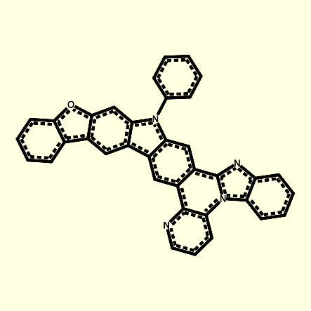 c1ccc(-n2c3cc4oc5ccccc5c4cc3c3cc4c(cc32)c2nc3ccccc3n2c2cccnc42)cc1